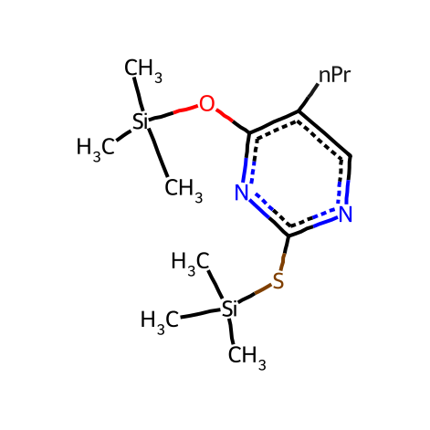 CCCc1cnc(S[Si](C)(C)C)nc1O[Si](C)(C)C